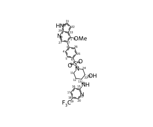 COc1c(-c2ccc(S(=O)(=O)N3CC[C@@H](Nc4ccc(C(F)(F)F)cn4)[C@@H](O)C3)cc2)cnc2[nH]ccc12